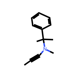 CC#CN(C)C(C)(C)c1ccccc1